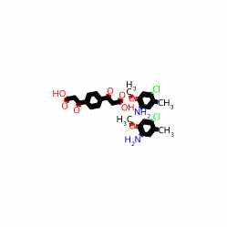 COc1cc(Cl)c(C)cc1N.COc1cc(Cl)c(C)cc1N.O=C(O)CC(=O)c1ccc(C(=O)CC(=O)O)cc1